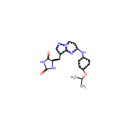 CC(C)Oc1ccc(Nc2ccn3ncc(C=C4NC(=O)NC4=O)c3n2)cc1